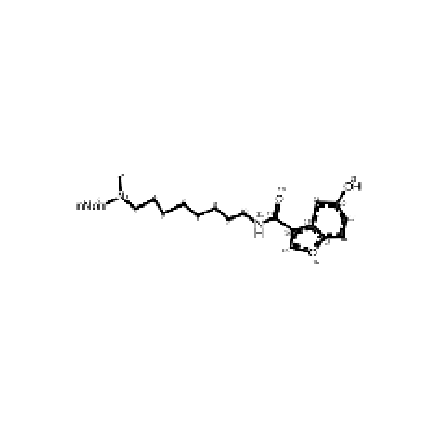 CCCCCCCCCN(C)CCCCCCCCNC(=O)c1coc2ccc(O)cc12